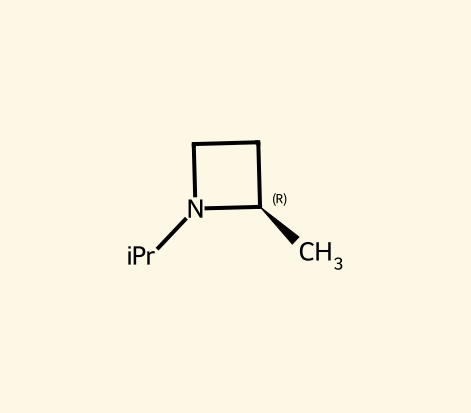 CC(C)N1CC[C@H]1C